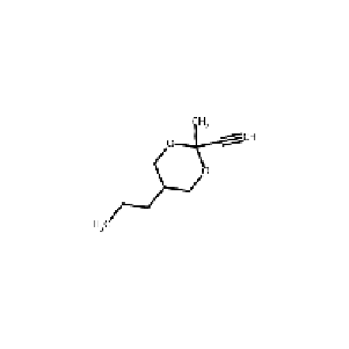 C#CC1(C)OCC(CCC)CO1